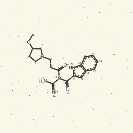 COC1CCN(CCC(=O)N(C(=N)N)C(=O)c2cc3ccccc3[nH]2)C1